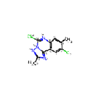 Cc1nc2c3cc(Cl)c(C)cc3nc(Cl)n2n1